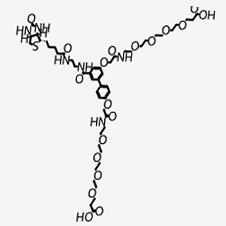 O=C(O)CCOCCOCCOCCOCCNC(=O)COc1ccc(-c2cc(OCC(=O)NCCOCCOCCOCCOCCC(=O)O)cc(C(=O)NCCNC(=O)CCCC[C@@H]3SC[C@@H]4NC(=O)N[C@@H]43)c2)cc1